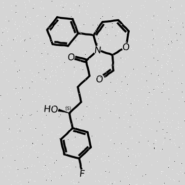 O=CC1OC=CC=C(c2ccccc2)N1C(=O)CCC[C@H](O)c1ccc(F)cc1